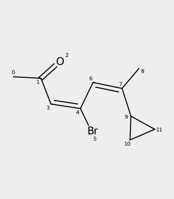 CC(=O)/C=C(Br)\C=C(\C)C1CC1